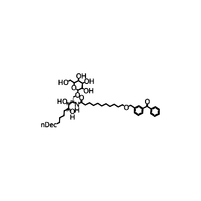 CCCCCCCCCCCCCC[C@@H](O)[C@@H](O)[C@H](COC1OC(CO)C(O)C(O)C1O)NC(=O)CCCCCCCCCCOCc1cccc(C(=O)c2ccccc2)c1